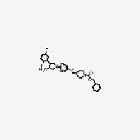 NC1CN(c2ncc(OCC3CCN(C(=O)OCc4ccccc4)CC3)cn2)CC1c1cc(F)ccc1F